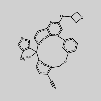 Cn1cncc1C1(N)c2ccc(C#N)c(c2)COc2cccc(c2)-c2cc(NC3COC3)nc3ccc1cc23